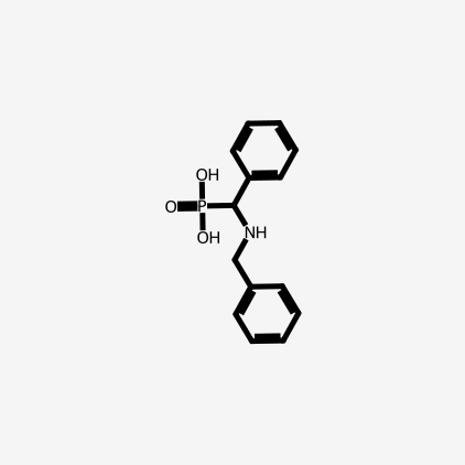 O=P(O)(O)C(NCc1ccccc1)c1ccccc1